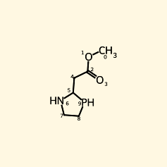 COC(=O)CC1NCCP1